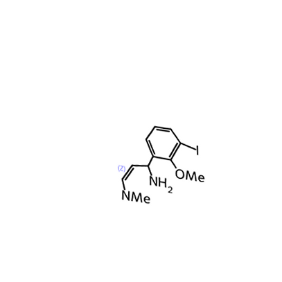 CN/C=C\C(N)c1cccc(I)c1OC